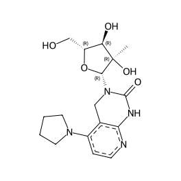 C[C@@]1(O)[C@H](O)[C@@H](CO)O[C@H]1N1Cc2c(N3CCCC3)ccnc2NC1=O